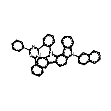 c1ccc(-c2nc(-c3ccccc3)nc(-c3ccccc3-n3c4ccccc4c4ccc5c(c6ccccc6n5-c5ccc6ccccc6c5)c43)n2)cc1